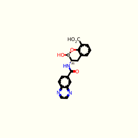 O=C(N[C@H]1Cc2cccc(C(=O)O)c2OB1O)c1ccc2nccnc2c1